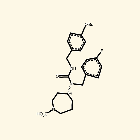 CC(C)COc1ccc(CNC(=O)N(Cc2ccc(F)cc2)[C@@H]2CCCN(C(=O)O)CC2)cc1